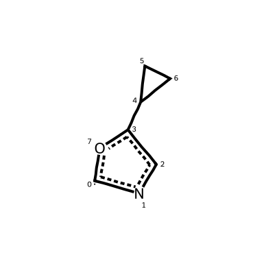 [c]1ncc(C2CC2)o1